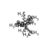 CCCCCc1c(CN(C)C(=O)OC)c(O)c(CC=C(C)CCC=C(C)C)c(O)c1CN(C)C(=O)OC